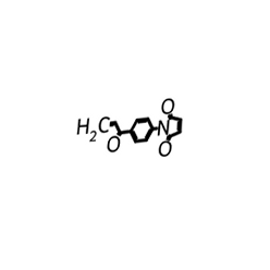 C=CC(=O)c1ccc(N2C(=O)C=CC2=O)cc1